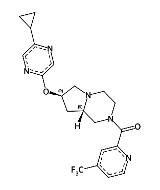 O=C(c1cc(C(F)(F)F)ccn1)N1CCN2C[C@H](Oc3cnc(C4CC4)cn3)C[C@H]2C1